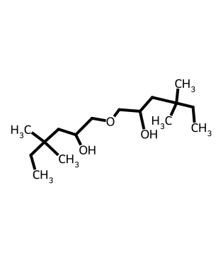 CCC(C)(C)CC(O)COCC(O)CC(C)(C)CC